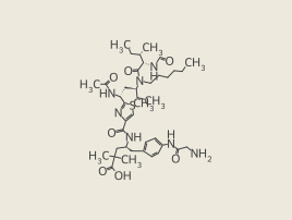 CCCCCCN(C(=O)[C@@H](NC=O)[C@@H](C)CC)[C@H](C[C@@H](NC(C)=O)c1nc(C(=O)N[C@@H](Cc2ccc(NC(=O)CN)cc2)CC(C)(C)C(=O)O)cs1)C(C)C